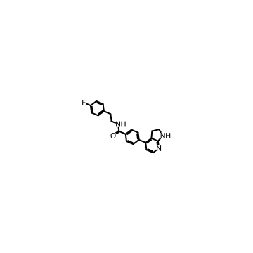 O=C(NCCc1ccc(F)cc1)c1ccc(-c2ccnc3c2CCN3)cc1